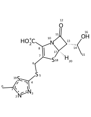 Cc1nnc(SCC2=C(C(=O)O)N3C(=O)[C@H](C(C)O)[C@H]3S2)s1